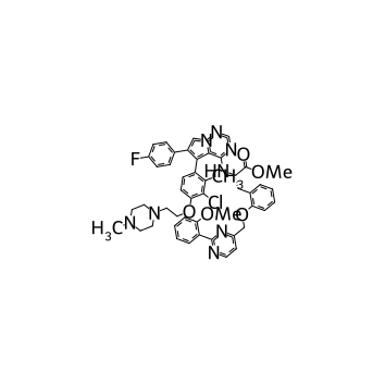 COC(=O)[C@H](Cc1ccccc1OCc1ccnc(-c2ccccc2OC)n1)Nc1ncnn2cc(-c3ccc(F)cc3)c(-c3ccc(OCCN4CCN(C)CC4)c(Cl)c3C)c12